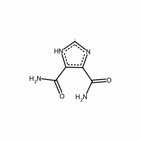 NC(=O)c1n[c][nH]c1C(N)=O